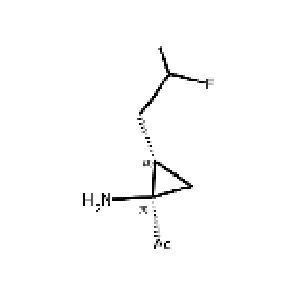 CC(=O)[C@@]1(N)C[C@H]1CC(C)F